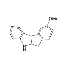 COc1ccc2c(c1)C1c3ccccc3NC1C2